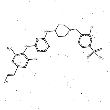 Cc1cc(C=CC#N)cc(C)c1Nc1ccnc(NC2CCN(Cc3ccc(S(C)(=O)=O)cc3Cl)CC2)n1